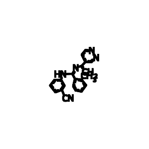 C=C(/N=C(/Nc1cccc(C#N)c1)c1ccccc1C)c1ccnnc1